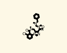 CN(Cc1ccccc1)CN1CON=C1c1ncn2c1CN(C)C(=O)c1c(Cl)cccc1-2